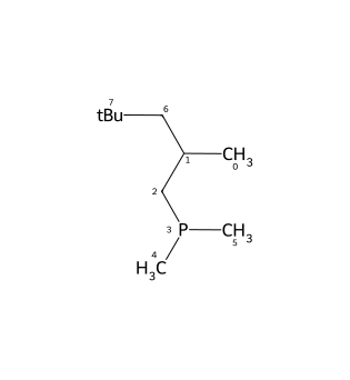 CC(CP(C)C)CC(C)(C)C